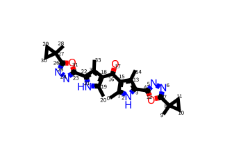 Cc1[nH]c(-c2nnc(C3(C)CC3)o2)c(C)c1C(=O)c1c(C)[nH]c(-c2nnc(C3(C)CC3)o2)c1C